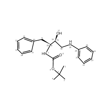 CC(C)(C)OC(=O)N[C@@H](Cc1ccccc1)[C@@H](O)CNc1ccccc1